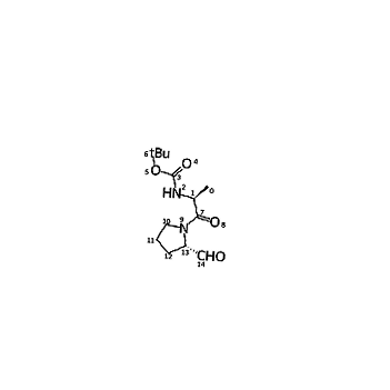 C[C@H](NC(=O)OC(C)(C)C)C(=O)N1CCC[C@H]1C=O